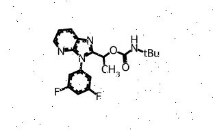 CC(OC(=O)NC(C)(C)C)c1nc2cccnc2n1-c1cc(F)cc(F)c1